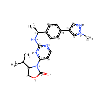 CC(C)C1COC(=O)N1c1ccnc(N[C@@H](C)c2ccc(-c3cnn(C)c3)cc2)n1